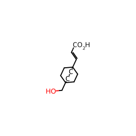 O=C(O)/C=C/C12CCC(CO)(CC1)CC2